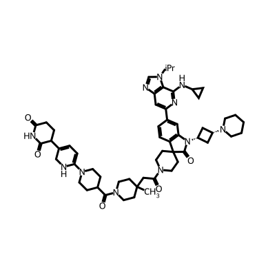 CC(C)n1cnc2cc(-c3ccc4c(c3)N([C@H]3C[C@@H](N5CCCCC5)C3)C(=O)C43CCN(C(=O)CC4(C)CCN(C(=O)C5CCN(C6=CC=C(C7CCC(=O)NC7=O)CN6)CC5)CC4)CC3)nc(NC3CC3)c21